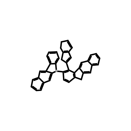 C1=CC2=C(CC1)CC(c1c(-n3c4ccccc4c4cc5ccccc5cc43)ccc3c1-c1cc4ccccc4cc1C3)=C2